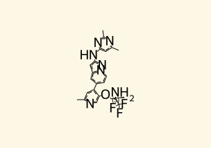 Cc1cc(-c2ccn3nc(Nc4cc(C)nc(C)n4)cc3c2)c(OC[C@](C)(N)C(F)(F)F)cn1